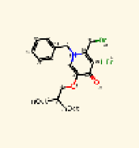 Br.CCCCCCCCC(CCCCCCCC)COc1cn(Cc2ccccc2)c(CBr)cc1=O